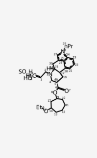 C=CCN1C[C@H](C(=O)OC2CCCCC(OCC)C2)CC2c3cccc4c3c(cn4CCC)C[C@H]21.O=S(=O)(O)O